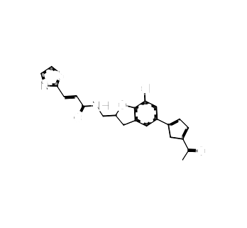 CC(=O)C1=CC=C(c2cc(Cl)c3c(c2)CC(CNC(=O)C=Cc2nccs2)O3)C1